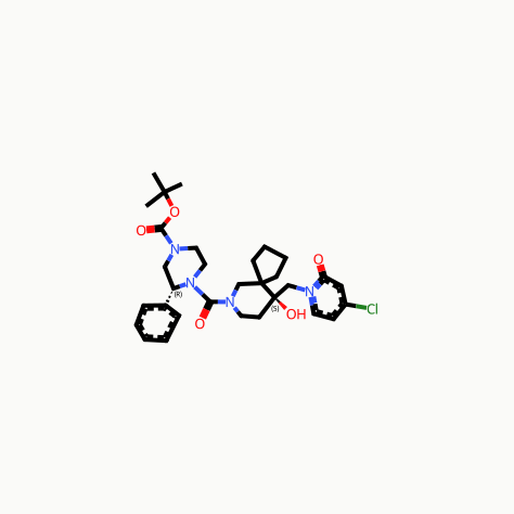 CC(C)(C)OC(=O)N1CCN(C(=O)N2CC[C@@](O)(Cn3ccc(Cl)cc3=O)C3(CCCC3)C2)[C@H](c2ccccc2)C1